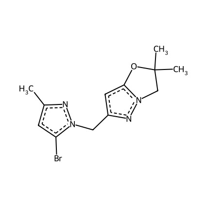 Cc1cc(Br)n(Cc2cc3n(n2)CC(C)(C)O3)n1